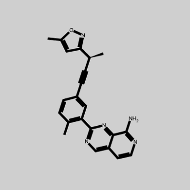 Cc1cc([C@@H](C)C#Cc2ccc(C)c(-c3ncc4ccnc(N)c4n3)c2)no1